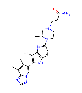 Cc1c(-c2[nH]c3ccc(N4CCN(CCC(N)=O)C[C@@H]4C)nc3c2C(C)C)cn2ncnc2c1C